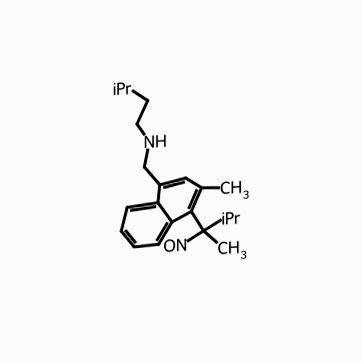 Cc1cc(CNCCC(C)C)c2ccccc2c1C(C)(N=O)C(C)C